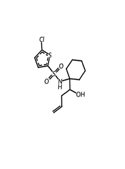 C=CCC(O)C1(NS(=O)(=O)c2ccc(Cl)s2)CCCCC1